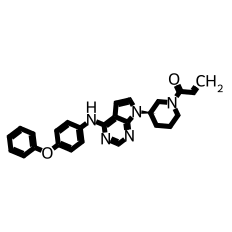 C=CC(=O)N1CCC[C@@H](n2ccc3c(Nc4ccc(Oc5ccccc5)cc4)ncnc32)C1